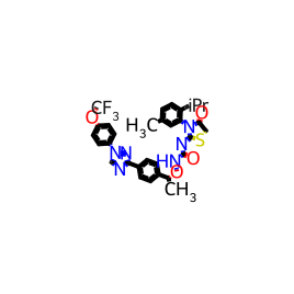 Cc1ccc(C(C)C)c(N2C(=O)CS/C2=N\C(=O)NOC(C)c2ccc(-c3ncn(-c4ccc(OC(F)(F)F)cc4)n3)cc2)c1